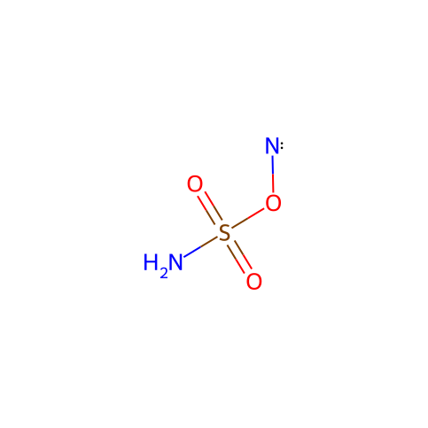 [N]OS(N)(=O)=O